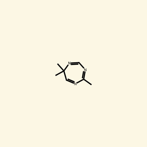 CC1=NC=NC(C)(C)C=N1